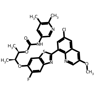 COc1cnc2c(-c3nc4cc(F)c(O[C@@H](C)[C@@H](C)OC(=O)Nc5cnc(C)c(C)c5)cc4s3)cc(Cl)cc2c1